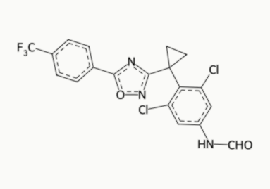 O=CNc1cc(Cl)c(C2(c3noc(-c4ccc(C(F)(F)F)cc4)n3)CC2)c(Cl)c1